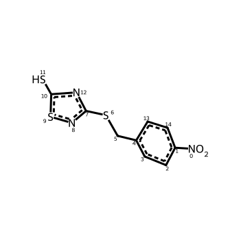 O=[N+]([O-])c1ccc(CSc2nsc(S)n2)cc1